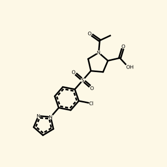 CC(=O)N1CC(S(=O)(=O)c2ccc(-n3cccn3)cc2Cl)CC1C(=O)O